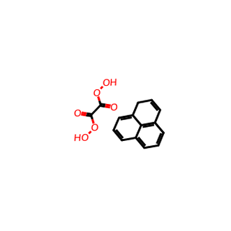 C1=Cc2cccc3cccc(c23)C1.O=C(OO)C(=O)OO